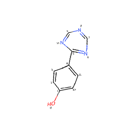 Oc1ccc(-c2ncncn2)cc1